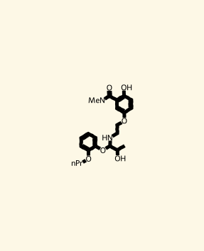 CCCOc1ccccc1OC(NCCOc1ccc(O)c(C(=O)NC)c1)C(C)O